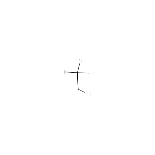 O=[N+]([O-])C(Cl)(Cl)CO